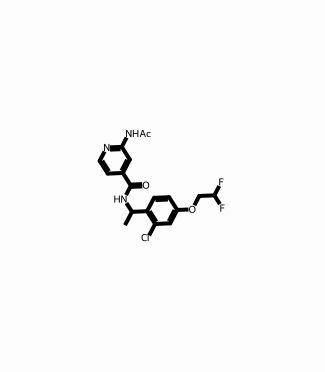 CC(=O)Nc1cc(C(=O)NC(C)c2ccc(OCC(F)F)cc2Cl)ccn1